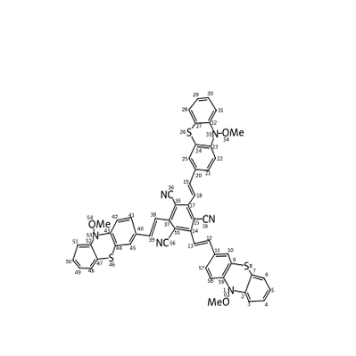 CON1c2ccccc2Sc2cc(/C=C/c3c(C#N)c(/C=C/c4ccc5c(c4)Sc4ccccc4N5OC)c(C#N)c(/C=C/c4ccc5c(c4)Sc4ccccc4N5OC)c3C#N)ccc21